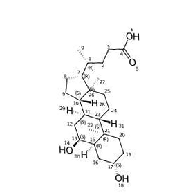 C[C@H](CCC(=O)O)[C@H]1CC[C@H]2[C@@H]3C[C@H](O)[C@@H]4C[C@@H](O)CC[C@]4(C)[C@H]3CC[C@]12C